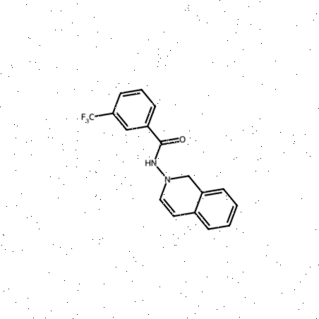 O=C(NN1C=Cc2ccccc2C1)c1cccc(C(F)(F)F)c1